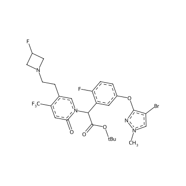 Cn1cc(Br)c(Oc2ccc(F)c(C(C(=O)OC(C)(C)C)n3cc(CCN4CC(F)C4)c(C(F)(F)F)cc3=O)c2)n1